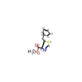 COC(=O)c1ncsc1Cc1ccccc1